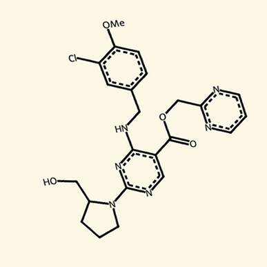 COc1ccc(CNc2nc(N3CCCC3CO)ncc2C(=O)OCc2ncccn2)cc1Cl